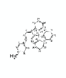 Cc1ccc(-c2ccc3c(c2)C(c2ccccc2)(c2ccccc2)c2ccccc2-3)cc1